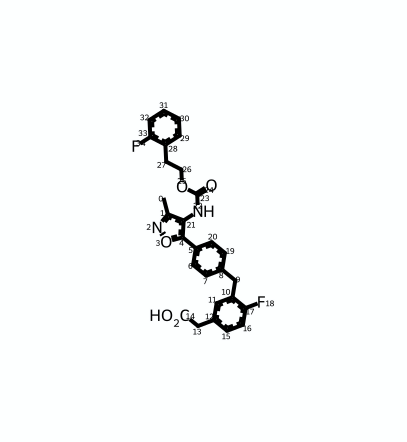 Cc1noc(-c2ccc(Cc3cc(CC(=O)O)ccc3F)cc2)c1NC(=O)OCCc1ccccc1F